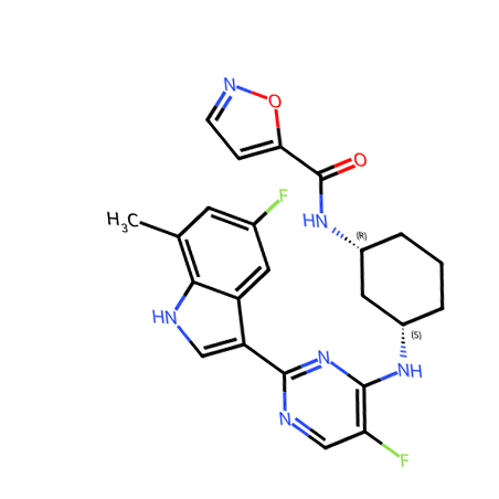 Cc1cc(F)cc2c(-c3ncc(F)c(N[C@H]4CCC[C@@H](NC(=O)c5ccno5)C4)n3)c[nH]c12